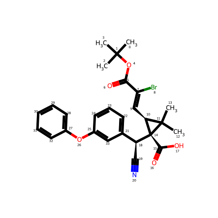 CC(C)(C)OC(=O)C(Br)=C[C@H]1C(C)(C)[C@]1(C(=O)O)[C@@H](C#N)c1cccc(Oc2ccccc2)c1